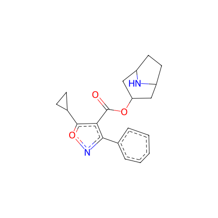 O=C(OC1CC2CCC(C1)N2)c1c(-c2ccccc2)noc1C1CC1